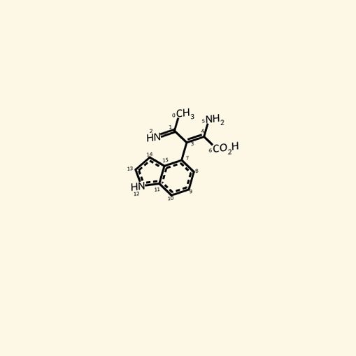 CC(=N)/C(=C(\N)C(=O)O)c1cccc2[nH]ccc12